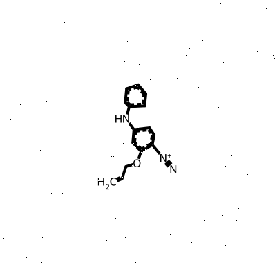 C=CCOc1cc(Nc2ccccc2)ccc1[N+]#N